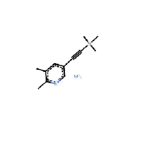 Cc1cc(C#C[Si](C)(C)C)cnc1C.N